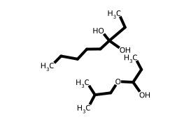 CCC(O)OCC(C)C.CCCCCC(O)(O)CC